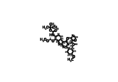 COCOc1c(NC(=O)OC(C)(C)C)ccc2c1sc1nc(-c3ccc(OC)cc3C3CC3)n(Cc3cnco3)c(=O)c12